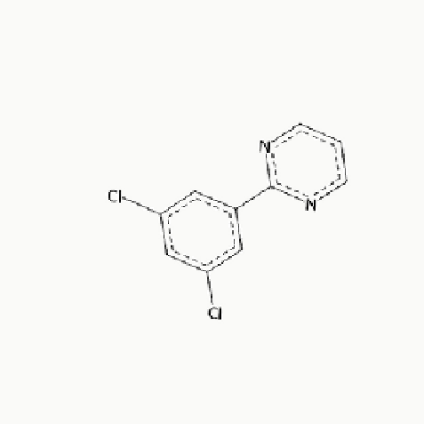 Clc1cc(Cl)cc(-c2ncccn2)c1